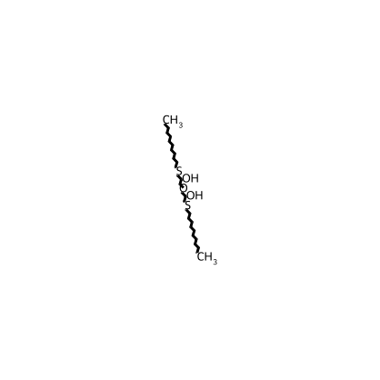 CCCCCCCCCCCCSCC(O)COCC(O)CSCCCCCCCCCCCC